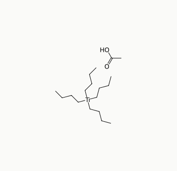 CC(=O)O.CCC[CH2][Ti]([CH2]CCC)([CH2]CCC)[CH2]CCC